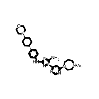 CC(=O)N1CCCN(c2cc(-n3nc(Nc4ccc([C@H]5CC[C@H](N6CCOCC6)CC5)cc4)nc3N)ncn2)CC1